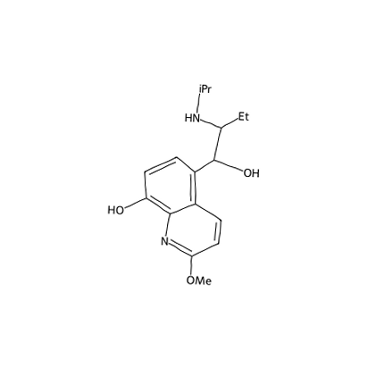 CCC(NC(C)C)C(O)c1ccc(O)c2nc(OC)ccc12